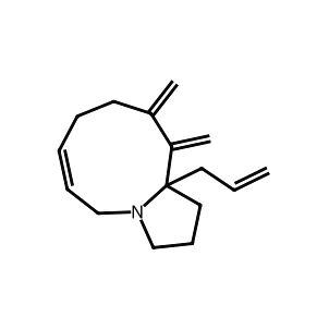 C=CCC12CCCN1C/C=C\CCC(=C)C2=C